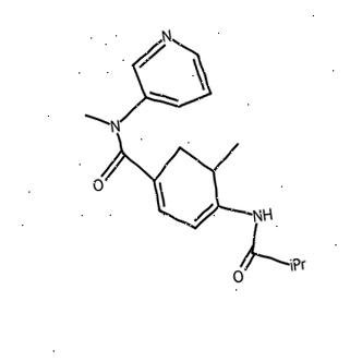 CC(C)C(=O)NC1=CC=C(C(=O)N(C)c2cccnc2)CC1C